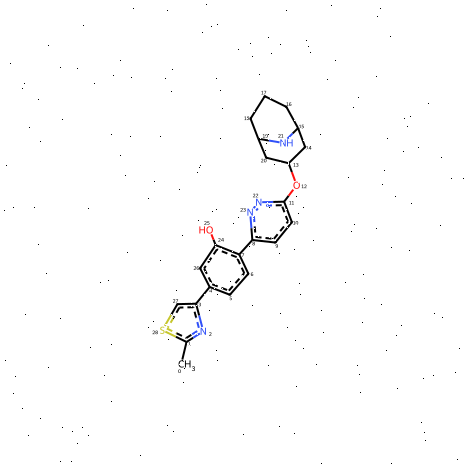 Cc1nc(-c2ccc(-c3ccc(OC4CC5CCCC(C4)N5)nn3)c(O)c2)cs1